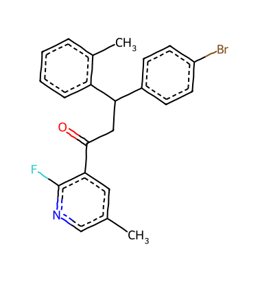 Cc1cnc(F)c(C(=O)CC(c2ccc(Br)cc2)c2ccccc2C)c1